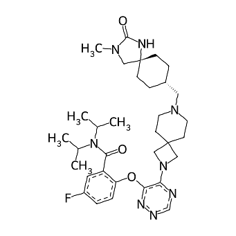 CC(C)N(C(=O)c1cc(F)ccc1Oc1nncnc1N1CC2(CCN(C[C@H]3CC[C@@]4(CC3)CN(C)C(=O)N4)CC2)C1)C(C)C